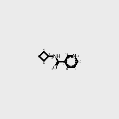 O=C(NC1CCC1)c1cccnc1